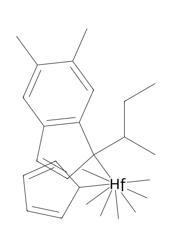 CCC(C)[C]1([Hf]([CH3])([CH3])([CH3])([CH3])([CH3])([CH3])([CH3])[CH]2C=CC=C2)C=Cc2cc(C)c(C)cc21